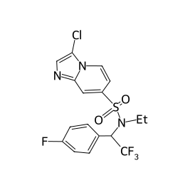 CCN(C(c1ccc(F)cc1)C(F)(F)F)S(=O)(=O)c1ccn2c(Cl)cnc2c1